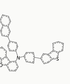 c1ccc2cc(-c3ccc(N(c4ccc(-c5ccc6sc7ccccc7c6c5)cc4)c4cccc5oc6ccccc6c45)cc3)ccc2c1